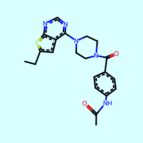 CCc1cc2c(N3CCN(C(=O)c4ccc(NC(C)=O)cc4)CC3)ncnc2s1